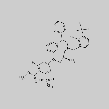 COC(=O)c1c(F)cc(OC[C@H](C)CN(Cc2cccc(C(F)(F)F)c2Cl)CC(c2ccccc2)c2ccccc2)cc1S(C)(=O)=O